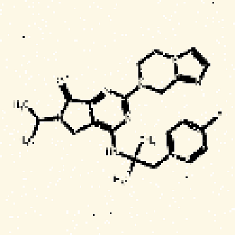 CC(C)N1Cc2c(NC(C)(C)Cc3ccc(F)cc3)nc(N3CCn4ccnc4C3)nc2C1=O